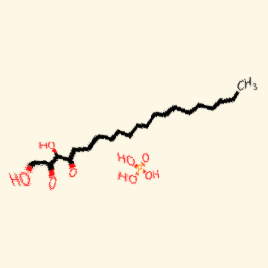 CCCCCCCCCCCCCCCCCC(=O)C(O)C(=O)CO.O=P(O)(O)O